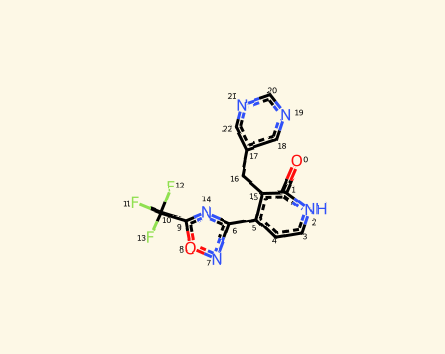 O=c1[nH]ccc(-c2noc(C(F)(F)F)n2)c1Cc1cncnc1